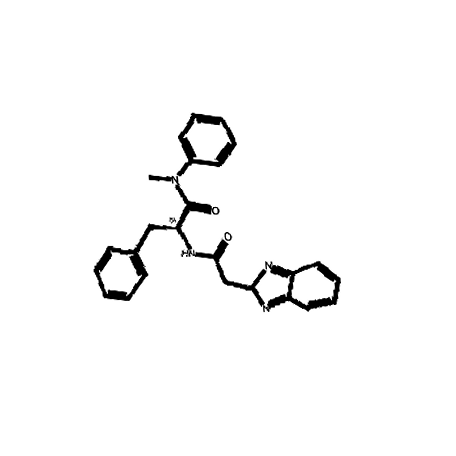 CN(C(=O)[C@H](Cc1ccccc1)NC(=O)CC1N=c2ccccc2=N1)c1ccccc1